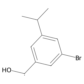 CC(C)c1cc(Br)cc([CH]O)c1